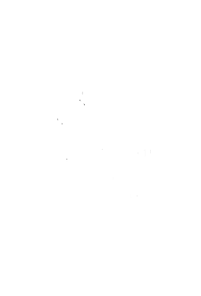 O=S(=O)(Cl)c1cnns1